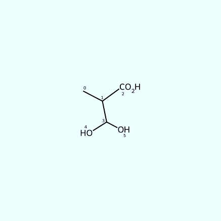 CC(C(=O)O)C(O)O